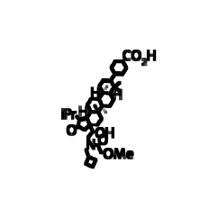 COCC(=O)N(CC1CCC1)C[C@H](O)[C@@]12CC[C@]3(C)[C@H](CC[C@@H]4[C@@]5(C)CC=C(C6=CCC(C(=O)O)CC6)C(C)(C)[C@@H]5CC[C@]43C)C1=C(C(C)C)C(=O)C2